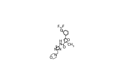 Cc1oc(-c2cccc(OC(F)F)c2)cc1C(=O)Nc1nc(CN2CCOCC2)ns1